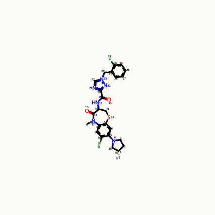 C[C@H]1CCN(c2cc3c(cc2F)N(C)C(=O)C(NC(=O)c2ncn(Cc4ccccc4F)n2)CS3)C1